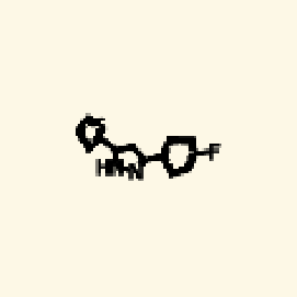 Fc1ccc(C2=NNC(c3cccs3)C2)cc1